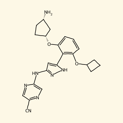 N#Cc1cnc(Nc2cc(-c3c(OC4CCC4)cccc3O[C@@H]3CC[C@H](N)C3)[nH]n2)cn1